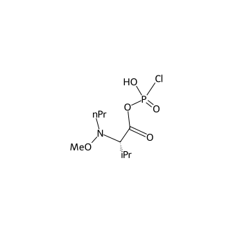 CCCN(OC)[C@H](C(=O)OP(=O)(O)Cl)C(C)C